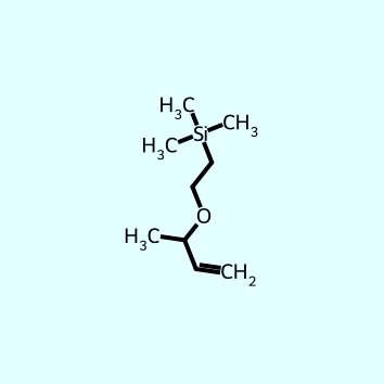 C=CC(C)OCC[Si](C)(C)C